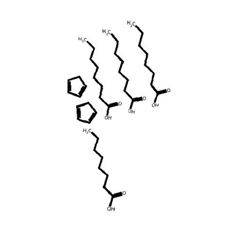 C1=CCC=C1.C1=CCC=C1.CCCCCCCC(=O)O.CCCCCCCC(=O)O.CCCCCCCC(=O)O.CCCCCCCC(=O)O